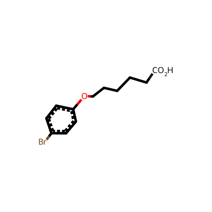 O=C(O)CCCCCOc1ccc(Br)cc1